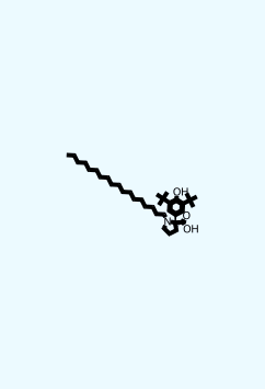 CCCCCCCCCCCCCCCCCCN1CCC[C@]1(C(=O)O)c1cc(C(C)(C)C)c(O)c(C(C)(C)C)c1